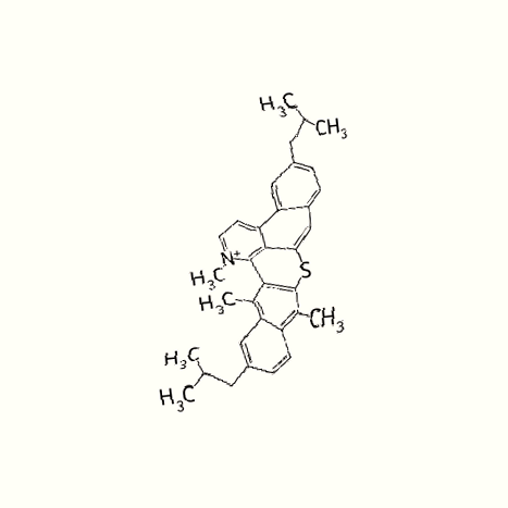 Cc1c2c(c(C)c3cc(CC(C)C)ccc13)-c1c3c(cc4ccc(CC(C)C)cc4c3cc[n+]1C)S2